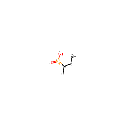 CCCCC(C)[PH](=O)O